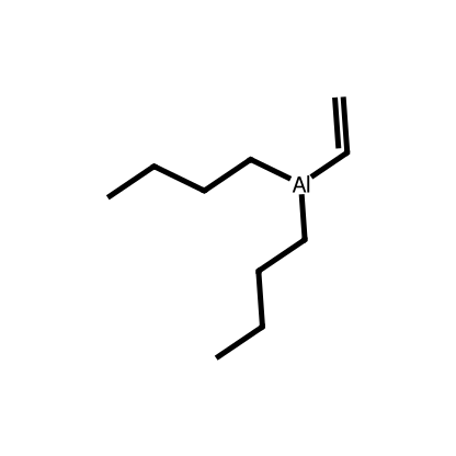 C=[CH][Al]([CH2]CCC)[CH2]CCC